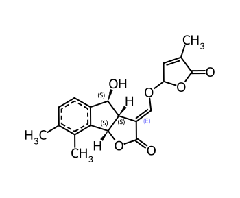 CC1=CC(O/C=C2/C(=O)O[C@@H]3c4c(ccc(C)c4C)[C@@H](O)[C@H]23)OC1=O